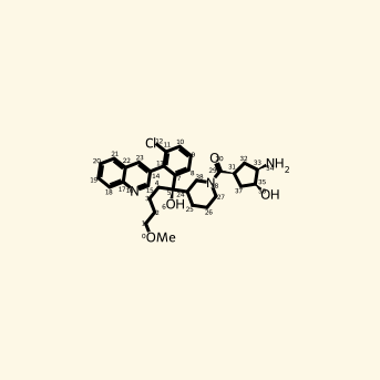 COCCCC[C@](O)(c1cccc(Cl)c1-c1cnc2ccccc2c1)C1CCCN(C(=O)[C@H]2C[C@@H](N)[C@@H](O)C2)C1